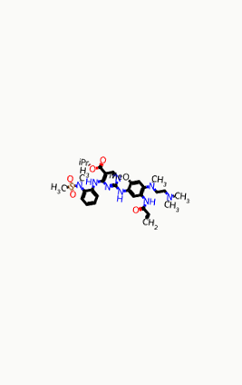 C=CC(=O)Nc1cc(Nc2ncc(C(=O)OC(C)C)c(Nc3ccccc3N(C)S(C)(=O)=O)n2)c(OC)cc1N(C)CCN(C)C